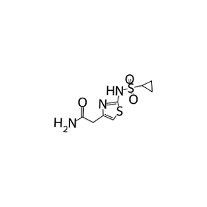 NC(=O)Cc1csc(NS(=O)(=O)C2CC2)n1